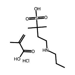 C=C(C)C(=O)O.CCCNCCC(C)(C)S(=O)(=O)O.Cl